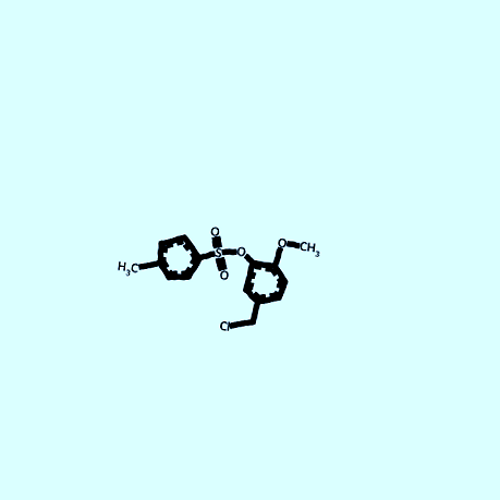 COc1ccc(CCl)cc1OS(=O)(=O)c1ccc(C)cc1